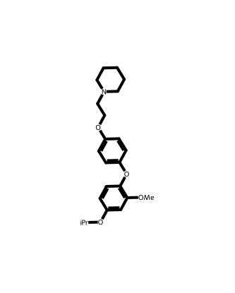 COc1cc(OC(C)C)c[c]c1Oc1ccc(OCCN2CCCCC2)cc1